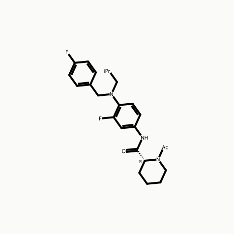 CC(=O)N1CCCC[C@@H]1C(=O)Nc1ccc(N(Cc2ccc(F)cc2)CC(C)C)c(F)c1